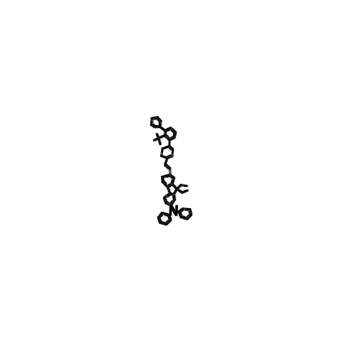 CCC1(CC)c2cc(/C=C/C3=CC=C(c4cccc(-c5ccccc5)c4C(C)(C)C)CC3)ccc2-c2ccc(N(c3ccccc3)c3ccccc3)cc21